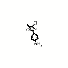 Cc1[nH]c(-c2ccc(N)cc2)nc1Cl